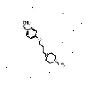 [CH2]Cc1ccc(OCCCN2CCN(C)CC2)cc1